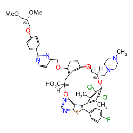 COC[C@@H](COc1ccc(-c2nccc(COc3ccc4cc3C[C@H](C(=O)O)Oc3ncnc5sc(-c6ccc(F)cc6)c(c35)-c3c(C)c(Cl)c(c(Cl)c3C)O[C@H](CN3CCN(C)CC3)CO4)n2)cc1)OC